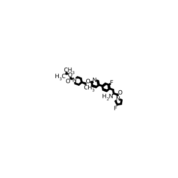 CC(C)OC(=O)N1CCC(C(C)Oc2ccc(-c3ccc(C[C@H](N)C(=O)N4CC[C@H](F)C4)c(F)c3)cn2)CC1